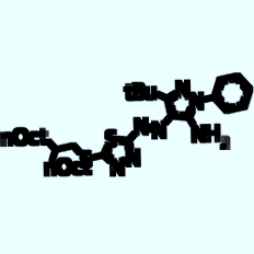 CCCCCCCCC(CCCCCCCC)CSc1nnc(N=Nc2c(C(C)(C)C)nn(-c3ccccc3)c2N)s1